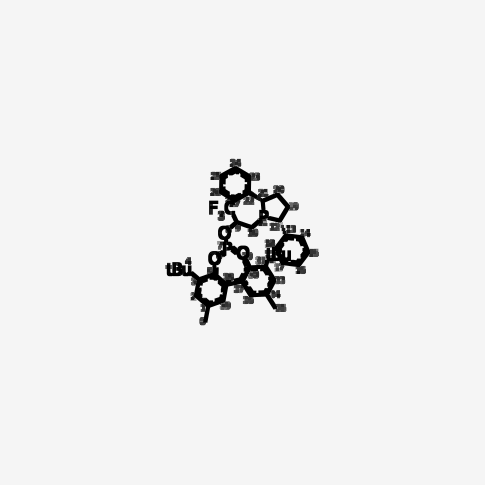 Cc1cc(C(C)(C)C)c2op(OC(CP3[C@@H](c4ccccc4)CC[C@@H]3c3ccccc3)C(F)(F)F)oc3c(C(C)(C)C)cc(C)cc3c2c1